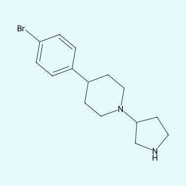 Brc1ccc(C2CCN(C3CCNC3)CC2)cc1